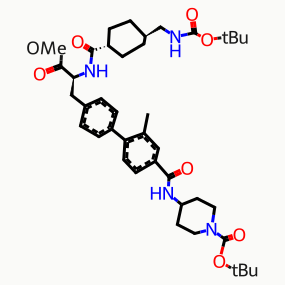 COC(=O)[C@H](Cc1ccc(-c2ccc(C(=O)NC3CCN(C(=O)OC(C)(C)C)CC3)cc2C)cc1)NC(=O)[C@H]1CC[C@H](CNC(=O)OC(C)(C)C)CC1